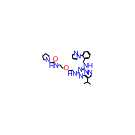 CC(C)c1cnn2c(NCc3ccccc3-n3cccn3)nc(NCCOCCNC(=O)CN3CCCC3)nc12